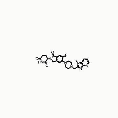 Cn1c(CN2CCN(c3cc4c(cc3F)C(=O)N(C3CCC(=O)NC3=O)C4)CC2)nc2ncccc21